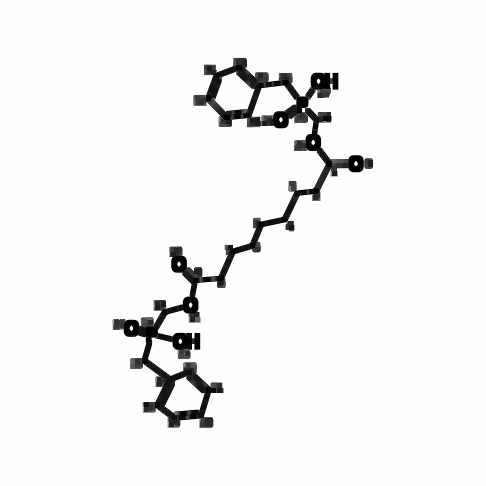 O=C(CCCCCCCC(=O)OCP(=O)(O)Cc1ccccc1)OCP(=O)(O)Cc1ccccc1